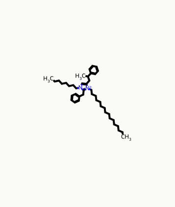 CCCCCCCCCCCCCCCC[n+]1c(CC(C)c2ccccc2)cn(CCCCCCCC)c1Cc1ccccc1